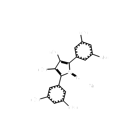 CCCCC1=C(c2cc(CCCC)cc(CCCC)c2)[N+](=[N-])C(c2cc(CCCC)cc(CCCC)c2)=C1CCCC.[Ni]